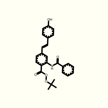 CC(C)(C)OOC(=O)c1ccc(/C=C/c2ccc(O)cc2)cc1NC(=O)c1ccccc1